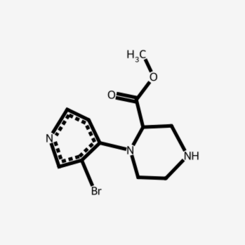 COC(=O)C1CNCCN1c1ccncc1Br